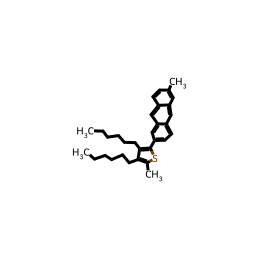 CCCCCCc1c(C)sc(-c2ccc3cc4cc(C)ccc4cc3c2)c1CCCCCC